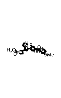 C=CC(=O)N1CCC(c2cc(-c3ccc(C(=O)Nc4cc(OC)ccn4)cc3F)n3cnccc23)C1